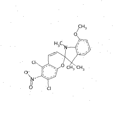 COc1cccc2c1N(C)C1(C=Cc3c(cc(Cl)c([N+](=O)[O-])c3Cl)O1)C2(C)C